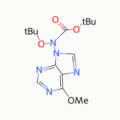 COc1ncnc2c1ncn2N(OC(C)(C)C)C(=O)OC(C)(C)C